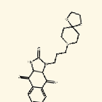 O=C1c2ccccc2C(=O)C2C1N[N+](=O)N2CCCN1CCC2(CC1)OCCO2